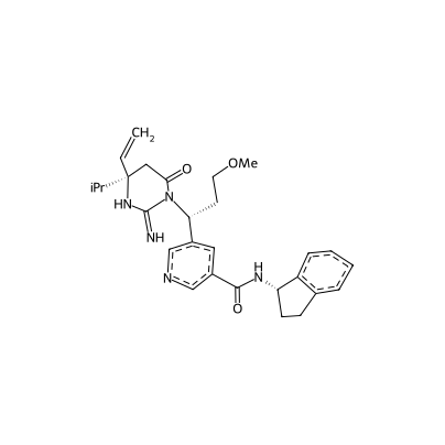 C=C[C@@]1(C(C)C)CC(=O)N([C@H](CCOC)c2cncc(C(=O)N[C@H]3CCc4ccccc43)c2)C(=N)N1